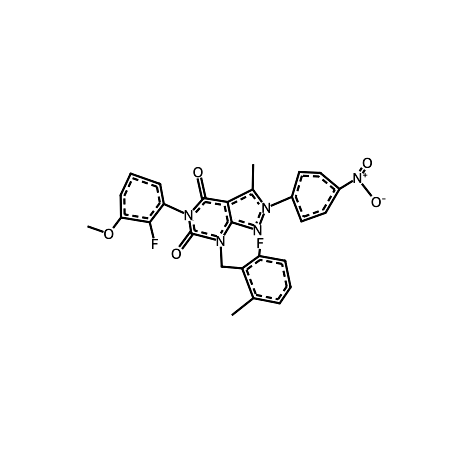 COc1cccc(-n2c(=O)c3c(C)n(-c4ccc([N+](=O)[O-])cc4)nc3n(Cc3c(C)cccc3F)c2=O)c1F